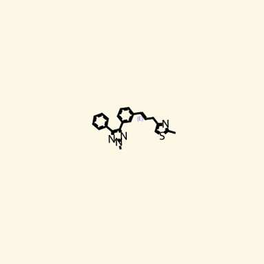 Cc1nc(C/C=C/c2cccc(-c3nn(C)nc3-c3ccccc3)c2)cs1